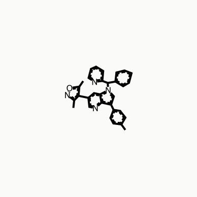 Cc1ccc(-c2cn(C(c3ccccc3)c3ccccn3)c3cc(-c4c(C)noc4C)cnc23)cc1